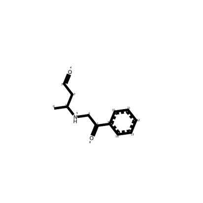 CC(CC=O)NCC(=O)c1ccccc1